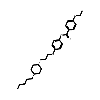 CCCCC[C@H]1CC[C@H](CCCOc2ccc(OC(=O)c3ccc(OCC)cc3)cc2)CC1